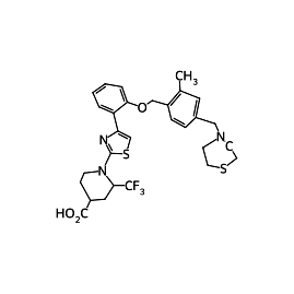 Cc1cc(CN2CCSCC2)ccc1COc1ccccc1-c1csc(N2CCC(C(=O)O)CC2C(F)(F)F)n1